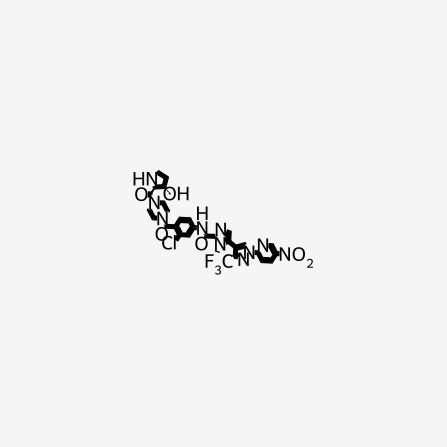 Cn1c(-c2cn(-c3ccc([N+](=O)[O-])cn3)nc2C(F)(F)F)cnc1C(=O)Nc1ccc(C(=O)N2CCN(C(=O)[C@H]3NCC[C@@H]3O)CC2)c(Cl)c1